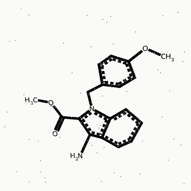 COC(=O)c1c(N)c2ccccc2n1Cc1ccc(OC)cc1